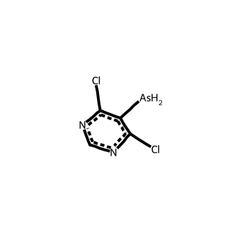 Clc1ncnc(Cl)c1[AsH2]